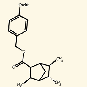 COc1ccc(COC(=O)C2C3CC([C@H]2C)[C@@H](C)[C@@H]3C)cc1